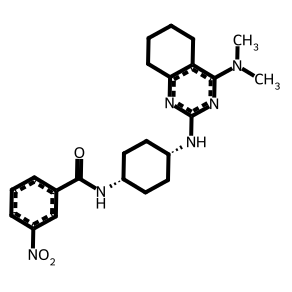 CN(C)c1nc(N[C@H]2CC[C@@H](NC(=O)c3cccc([N+](=O)[O-])c3)CC2)nc2c1CCCC2